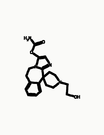 NC(=O)Oc1cnc2n1CCc1ccccc1C21CCN(CCO)CC1